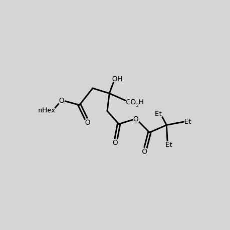 CCCCCCOC(=O)CC(O)(CC(=O)OC(=O)C(CC)(CC)CC)C(=O)O